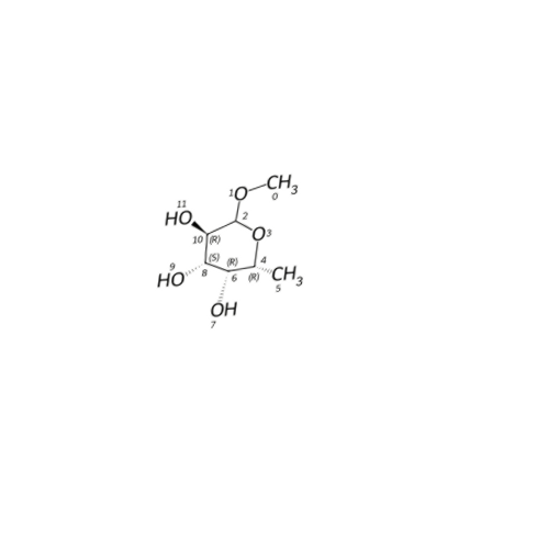 COC1O[C@H](C)[C@H](O)[C@H](O)[C@H]1O